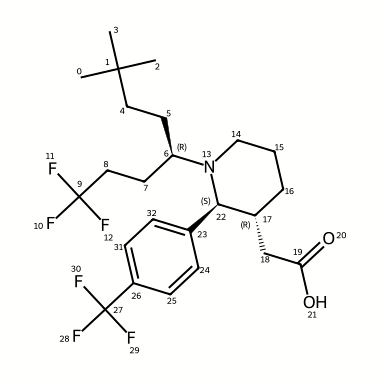 CC(C)(C)CC[C@H](CCC(F)(F)F)N1CCC[C@H](CC(=O)O)[C@H]1c1ccc(C(F)(F)F)cc1